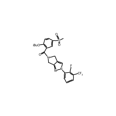 CC(C)COc1ccc(S(C)(=O)=O)cc1C(=O)N1Cc2cn(-c3cccc(C(F)(F)F)c3F)nc2C1